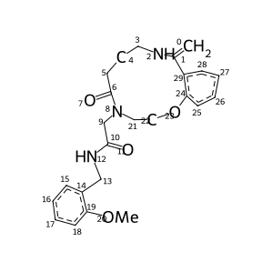 C=C1NCCCC(=O)N(CC(=O)NCc2ccccc2OC)CCOc2ccccc21